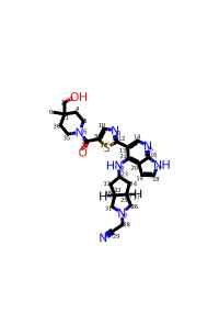 CC1(CO)CCN(C(=O)c2cnc(-c3cnc4[nH]ccc4c3NC3C[C@@H]4CN(CC#N)C[C@@H]4C3)s2)CC1